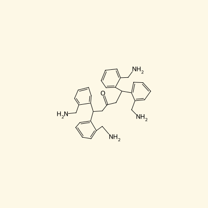 NCc1ccccc1C(CC(=O)CC(c1ccccc1CN)c1ccccc1CN)c1ccccc1CN